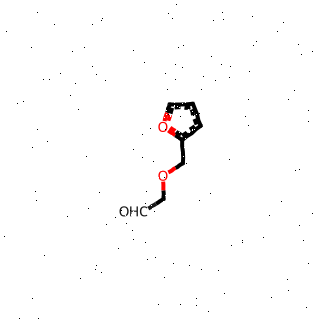 O=CCOCc1ccco1